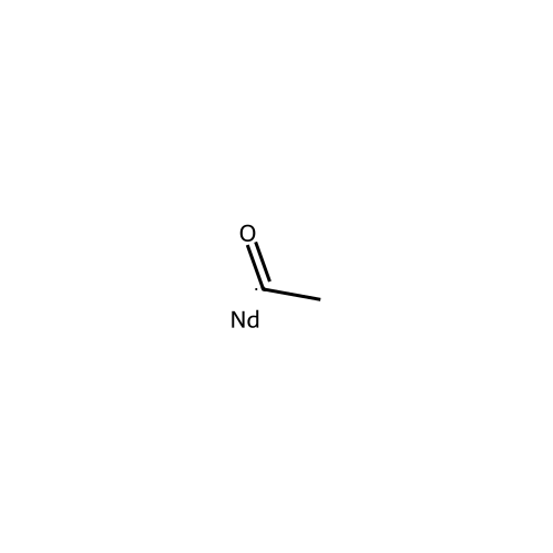 C[C]=O.[Nd]